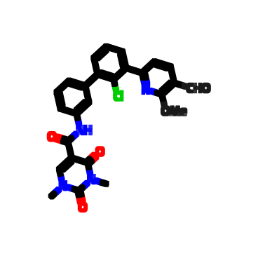 COc1nc(-c2cccc(-c3cccc(NC(=O)c4cn(C)c(=O)n(C)c4=O)c3)c2Cl)ccc1C=O